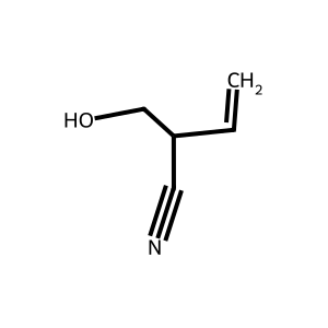 C=CC(C#N)CO